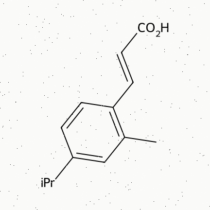 Cc1cc(C(C)C)ccc1/C=C/C(=O)O